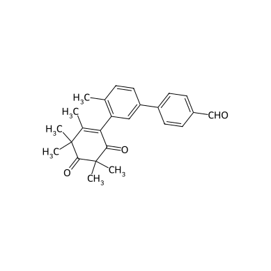 CC1=C(c2cc(-c3ccc(C=O)cc3)ccc2C)C(=O)C(C)(C)C(=O)C1(C)C